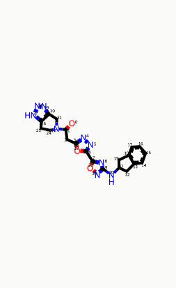 O=C(Cc1nnc(-c2nc(NC3Cc4ccccc4C3)no2)o1)N1CCc2[nH]nnc2C1